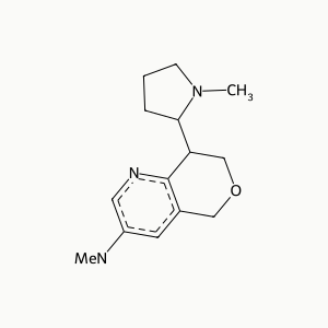 CNc1cnc2c(c1)COCC2C1CCCN1C